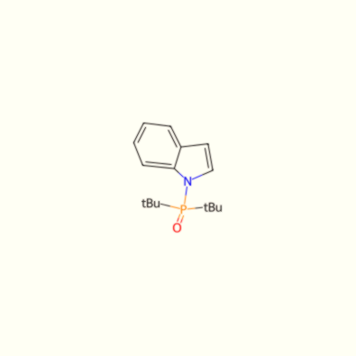 CC(C)(C)P(=O)(n1ccc2ccccc21)C(C)(C)C